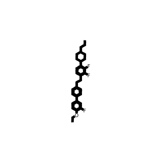 CCCC1CCC(c2ccc(CCc3ccc(-c4ccc(OCC)c(F)c4)cc3)c(F)c2F)CC1